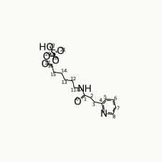 O=C(CCc1ccccn1)NCCCCCC(=O)OS(=O)(=O)O